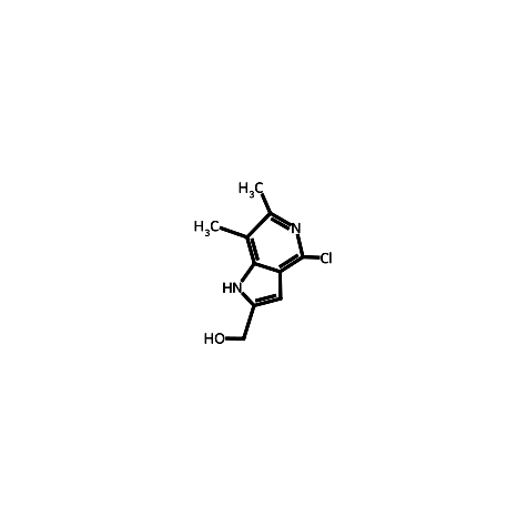 Cc1nc(Cl)c2cc(CO)[nH]c2c1C